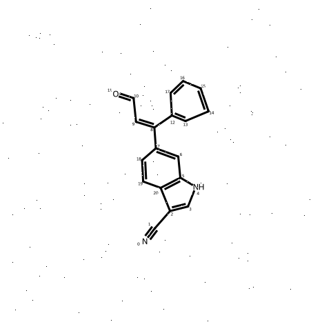 N#Cc1c[nH]c2cc(/C(=C/C=O)c3ccccc3)ccc12